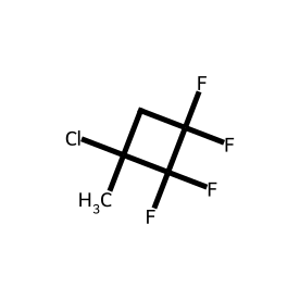 CC1(Cl)CC(F)(F)C1(F)F